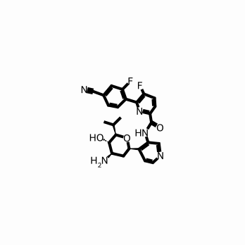 CC(C)[C@H]1O[C@@H](c2ccncc2NC(=O)c2ccc(F)c(-c3ccc(C#N)cc3F)n2)C[C@@H](N)[C@@H]1O